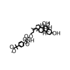 CC[C@H]1[C@@H](O)[C@@H]2[C@H](CC[C@]3(C)[C@@H]([C@H](C)CCOC(=O)NS(=O)(=O)c4ccc(C(C)(C)C(=O)OC)cc4)CC[C@@H]23)[C@@]2(C)CC[C@@H](O)C[C@@H]12